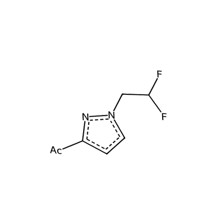 CC(=O)c1ccn(CC(F)F)n1